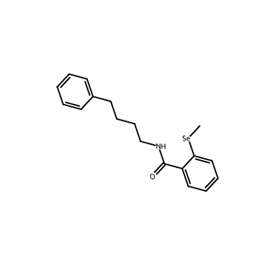 C[Se]c1ccccc1C(=O)NCCCCc1ccccc1